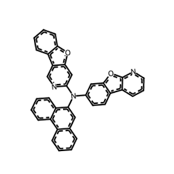 c1ccc2c(c1)cc(N(c1ccc3c(c1)oc1ncccc13)c1cc3oc4ccccc4c3cn1)c1ccccc12